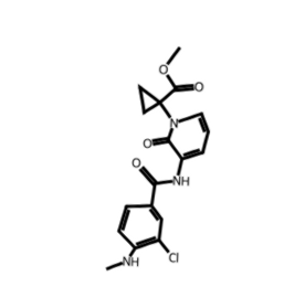 CNc1ccc(C(=O)Nc2cccn(C3(C(=O)OC)CC3)c2=O)cc1Cl